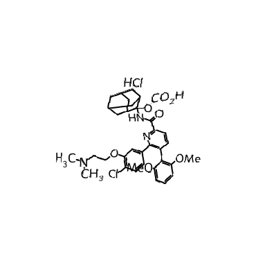 COc1cccc(OC)c1-c1ccc(C(=O)NC2(OC(=O)O)C3CC4CC(C3)CC2C4)nc1-c1ccc(Cl)c(OCCN(C)C)c1.Cl